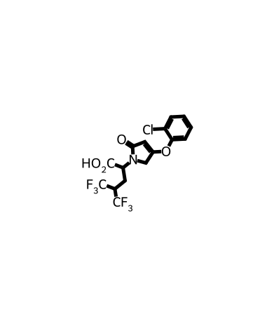 O=C(O)C(CC(C(F)(F)F)C(F)(F)F)N1CC(Oc2ccccc2Cl)=CC1=O